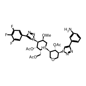 CO[C@H]1C[SH]([C@@H]2COC[C@H](n3cc(-c4cccc(N)c4)nn3)[C@H]2OC(C)=O)[C@H](COC(C)=O)[C@H](OC(C)=O)[C@H]1n1cc(-c2cc(F)c(F)c(F)c2)nn1